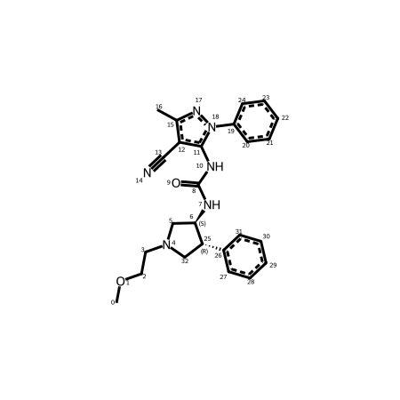 COCCN1C[C@@H](NC(=O)Nc2c(C#N)c(C)nn2-c2ccccc2)[C@H](c2ccccc2)C1